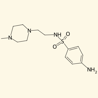 CN1CCN(CCNS(=O)(=O)c2ccc(N)cc2)CC1